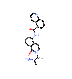 C=C(N)[C@@H](C)n1ccc2c(NC(=O)c3cccc4ncccc34)cccc2c1=O